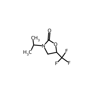 CC(C)N1CC(C(F)(F)F)OC1=O